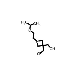 CC(C)OCCN1CC(CO)(CCl)C1